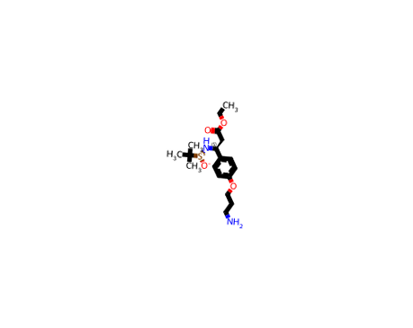 CCOC(=O)C[C@H](N[S+]([O-])C(C)(C)C)c1ccc(OCCCN)cc1